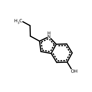 CCCc1cc2cc(O)ccc2[nH]1